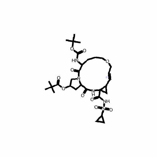 CC(C)(C)OC(=O)NC1CCCOC/C=C/C2CC2(C(=O)NS(=O)(=O)C2CC2)NC(=O)C2CC(OC(=O)C(C)(C)C)CN2C1=O